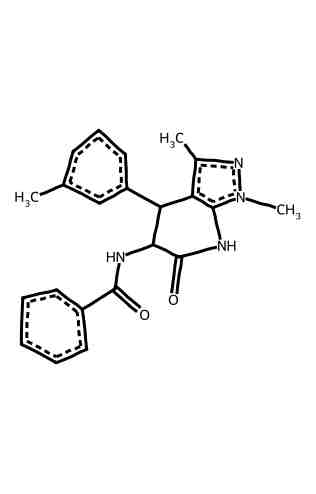 Cc1cccc(C2c3c(C)nn(C)c3NC(=O)C2NC(=O)c2ccccc2)c1